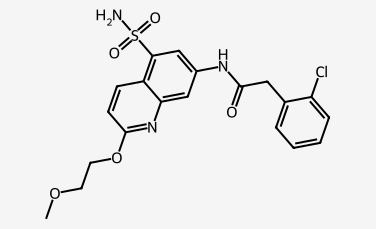 COCCOc1ccc2c(S(N)(=O)=O)cc(NC(=O)Cc3ccccc3Cl)cc2n1